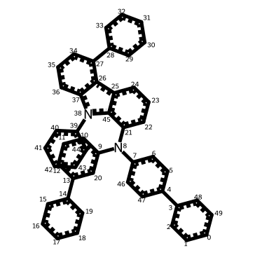 c1ccc(-c2ccc(N(c3cccc(-c4ccccc4)c3)c3cccc4c5c(-c6ccccc6)cccc5n(-c5ccccc5)c34)cc2)cc1